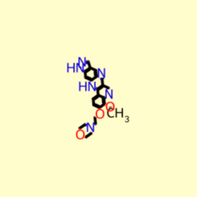 COc1c(OCCN2CCOCC2)ccc2c(Nc3ccc4cn[nH]c4c3)c(C#N)cnc12